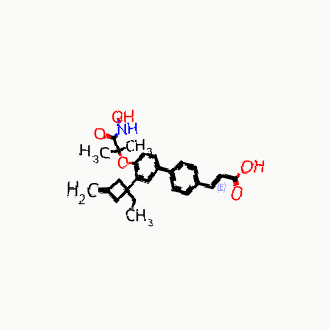 C=C1CC(CC)(c2cc(-c3ccc(/C=C/C(=O)O)cc3)ccc2OC(C)(C)C(=O)NO)C1